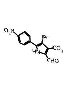 CC(C)c1c(-c2ccc([N+](=O)[O-])cc2)[nH]c(C=O)c1C(=O)O